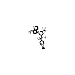 C/N=C\c1ccc(N2C[C@H](NC(=O)C3CCN(C4CC4)CC3)C[C@H](C(F)(F)F)C2)c2cccnc12